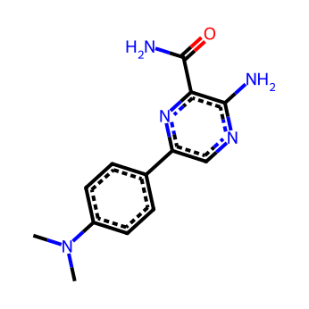 CN(C)c1ccc(-c2cnc(N)c(C(N)=O)n2)cc1